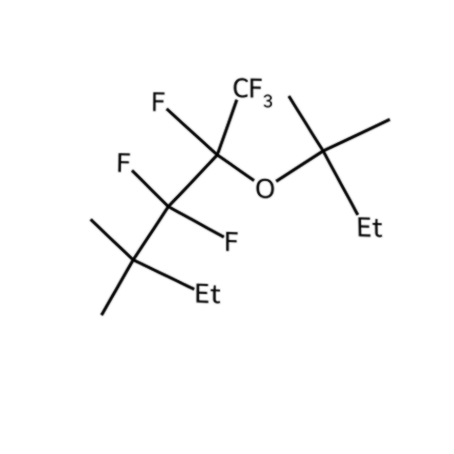 CCC(C)(C)OC(F)(C(F)(F)F)C(F)(F)C(C)(C)CC